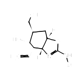 C=C[C@@H]1[C@H](O)[C@@H](CO)C[C@@H]2OC(NCC)=N[C@H]12